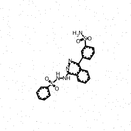 NS(=O)(=O)c1cccc(-c2nnc(NNS(=O)(=O)c3ccccc3)c3ccccc23)c1